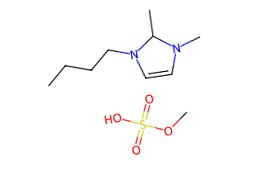 CCCCN1C=CN(C)C1C.COS(=O)(=O)O